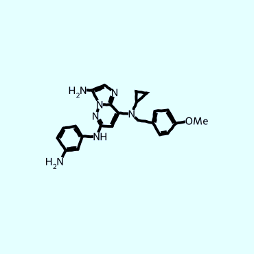 COc1ccc(CN(c2cc(Nc3cccc(N)c3)nn3c(N)cnc23)C2CC2)cc1